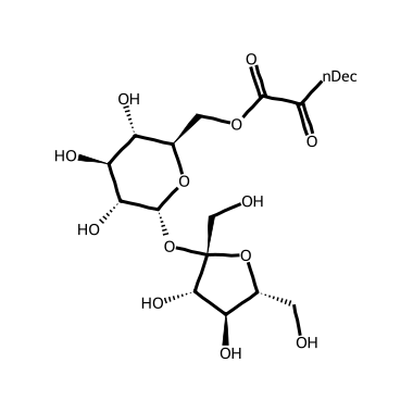 CCCCCCCCCCC(=O)C(=O)OC[C@H]1O[C@H](O[C@]2(CO)O[C@H](CO)[C@@H](O)[C@@H]2O)[C@H](O)[C@@H](O)[C@@H]1O